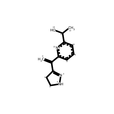 C=C(C1=NNCC1)c1cccc(C(C)O)n1